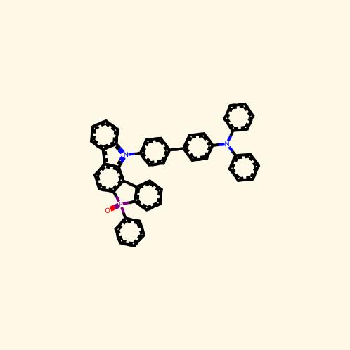 O=P1(c2ccccc2)c2ccccc2-c2c1ccc1c3ccccc3n(-c3ccc(-c4ccc(N(c5ccccc5)c5ccccc5)cc4)cc3)c21